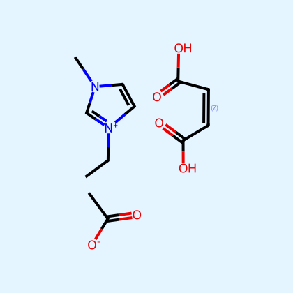 CC(=O)[O-].CC[n+]1ccn(C)c1.O=C(O)/C=C\C(=O)O